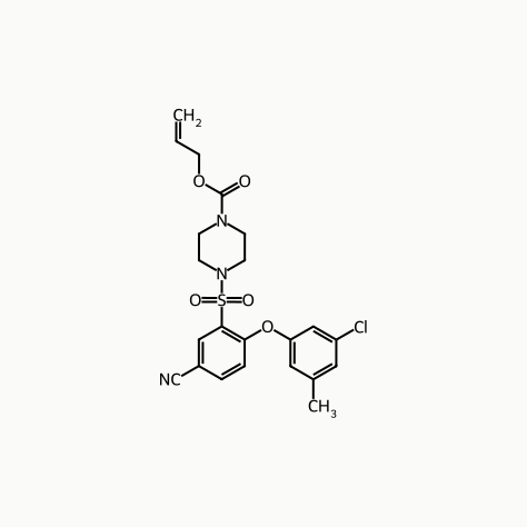 C=CCOC(=O)N1CCN(S(=O)(=O)c2cc(C#N)ccc2Oc2cc(C)cc(Cl)c2)CC1